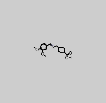 COc1ccc(/C=N/CC2CCC(C(=O)O)CC2)cc1OC